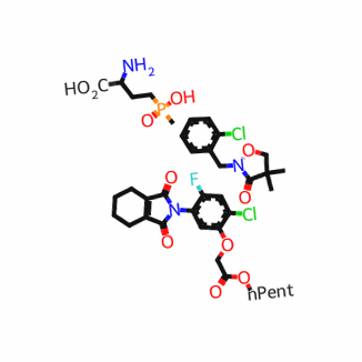 CC1(C)CON(Cc2ccccc2Cl)C1=O.CCCCCOC(=O)COc1cc(N2C(=O)C3=C(CCCC3)C2=O)c(F)cc1Cl.CP(=O)(O)CCC(N)C(=O)O